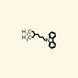 CCC(CC)CCCCn1c2ccccc2c2ccccc21